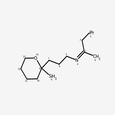 CC(CC(C)C)=NCCCC1([SiH3])CCCCO1